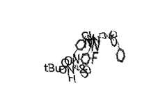 CC(C)(C)OC(=O)N[C@H]1CS(=O)(=O)c2cc(F)c(-c3nnn(C4CCN(C(=O)OCc5ccccc5)C4)n3)cc2N(Cc2ccc(Cl)cc2)C1=O